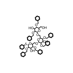 OCC1O[C@@H](OCC2O[C@@H](OCC3O[C@@H](Sc4ccccc4)C(OCc4ccccc4)C(O)[C@@H]3OCc3ccccc3)C(OCc3ccccc3)C(O)[C@@H]2OCc2ccccc2)C(OCc2ccccc2)C(O)[C@@H]1OCc1ccccc1